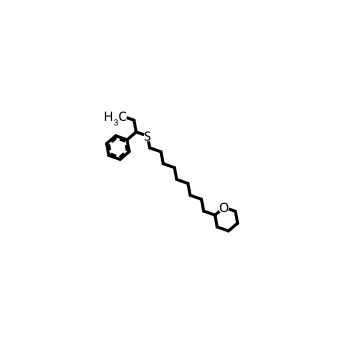 CCC(SCCCCCCCCCC1CCCCO1)c1ccccc1